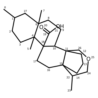 CC1CCC2(C)C(C)(CCC3C45CCCC4(CCC32C(=O)O)C(C)COC5)C1